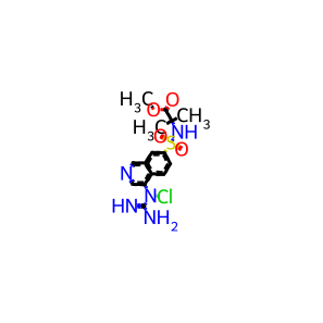 COC(=O)C(C)(C)NS(=O)(=O)c1ccc2c(N(Cl)C(=N)N)cncc2c1